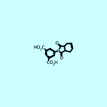 O=C(O)c1cc(C(=O)O)cc(N2C(=O)C3CC=CCC3C2=O)c1